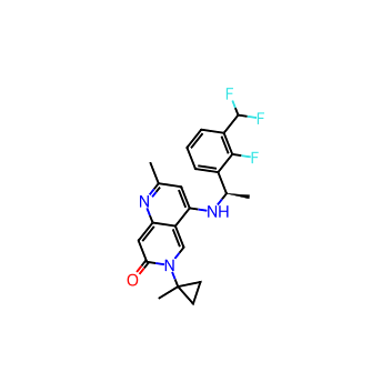 Cc1cc(N[C@H](C)c2cccc(C(F)F)c2F)c2cn(C3(C)CC3)c(=O)cc2n1